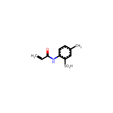 C=CC(=O)Nc1ccc(C)cc1S(=O)(=O)O